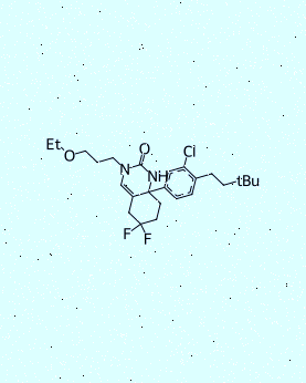 CCOCCCN1C=C2CC(F)(F)CCC2(c2ccc(CCC(C)(C)C)c(Cl)c2)NC1=O